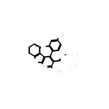 Cc1nc2sc3c(c2c(-c2ccc(Cl)cc2O)c1[C@H](OC(C)(C)C)C(=O)O)CCCC3